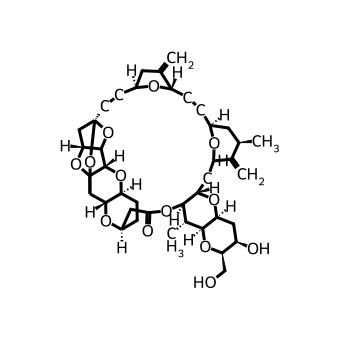 C=C1C[C@@H]2CC[C@@]34C[C@H]5OC6C(O3)[C@H]3O[C@H](CC[C@@H]3O[C@H]6C5O4)CC(=O)O[C@@H]3[C@@H](C)[C@@H]4O[C@H](CO)[C@H](O)C[C@@H]4O[C@H]3C[C@H]3O[C@@H](CC[C@@H]1O2)C[C@@H](C)C3=C